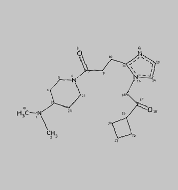 CN(C)C1CCN(C(=O)CCc2nccn2CC(=O)C2CCC2)CC1